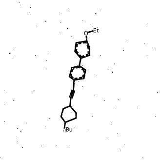 CCCCC1CCC(C#Cc2ccc(-c3ccc(OCC)cc3)cc2)CC1